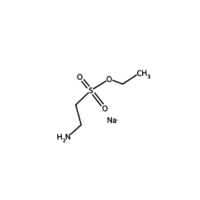 CCOS(=O)(=O)CCN.[Na]